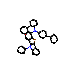 c1ccc(-c2ccc(N(c3ccccc3-c3ccccc3)c3cccc4c3sc3c5ccccc5n(-c5ccccc5)c43)cc2)cc1